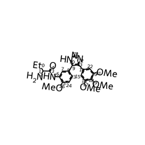 CCC(N)C(=O)Nc1cc(-c2[nH]nnc2-c2cc(OC)c(OC)c(OC)c2)ccc1OC